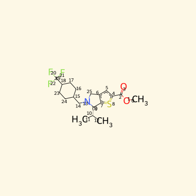 COC(=O)c1cc2c(s1)[C@H](C(C)C)N(CC1CCC(C(F)(F)F)CC1)C2